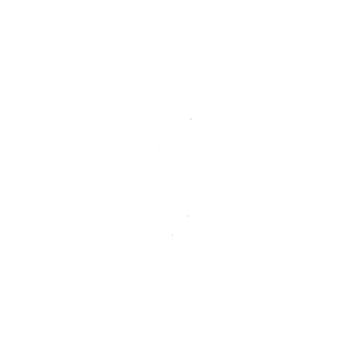 O[C@H]1COCC1CCc1ccccc1